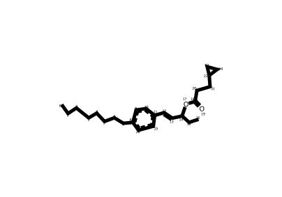 CCCCCCCCc1ccc(/C=C/C(CC)OC(=O)CCC2CC2)cc1